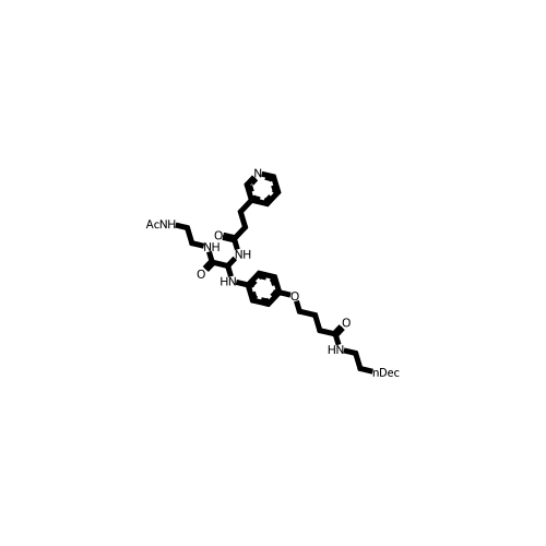 CCCCCCCCCCCCNC(=O)CCCOc1ccc(NC(NC(=O)CCc2cccnc2)C(=O)NCCNC(C)=O)cc1